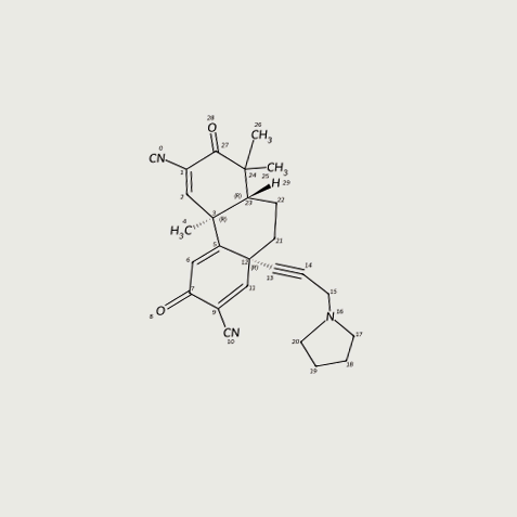 [C-]#[N+]C1=C[C@]2(C)C3=CC(=O)C(C#N)=C[C@]3(C#CCN3CCCC3)CC[C@H]2C(C)(C)C1=O